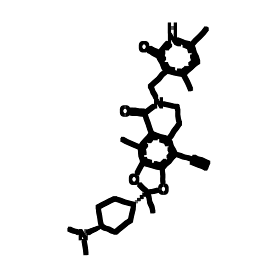 C#Cc1c2c(c(C)c3c1OC(C)([C@H]1CC[C@H](N(C)C)CC1)O3)C(=O)N(Cc1c(C)cc(C)[nH]c1=O)CC2